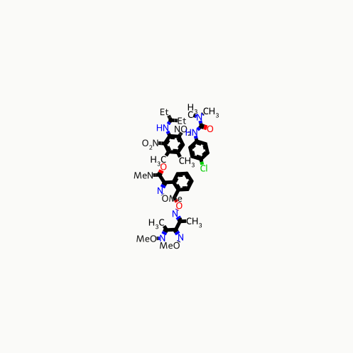 CCC(CC)Nc1c([N+](=O)[O-])cc(C)c(C)c1[N+](=O)[O-].CN(C)C(=O)Nc1ccc(Cl)cc1.CNC(=O)/C(=N/OC)c1ccccc1CO/N=C(C)/C(=N/OC)C(/C)=N/OC